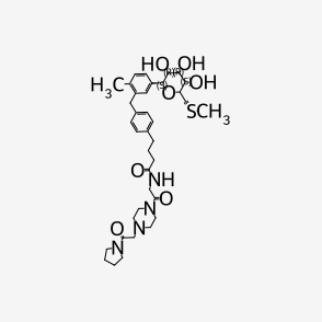 CS#CC1O[C@@H](c2ccc(C)c(Cc3ccc(CCCC(=O)NCC(=O)N4CCN(CC(=O)N5CCCC5)CC4)cc3)c2)[C@H](O)[C@@H](O)[C@@H]1O